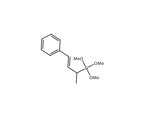 CO[Si](OC)(OC)C(C)C=Cc1ccccc1